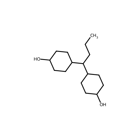 CCCC(C1CCC(O)CC1)C1CCC(O)CC1